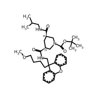 COCCCCC1(CNC(=O)[C@H]2C[C@@H](C(=O)NCC(C)C)CN(C(=O)OC(C)(C)C)C2)c2ccccc2Oc2ccccc21